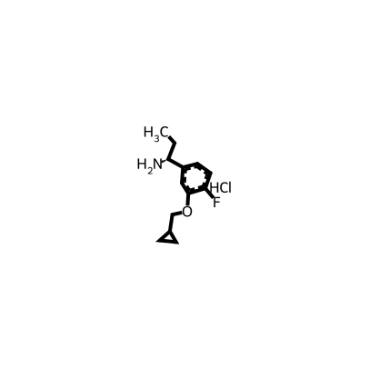 CC[C@@H](N)c1ccc(F)c(OCC2CC2)c1.Cl